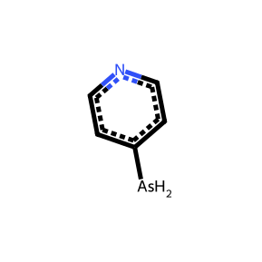 [AsH2]c1ccncc1